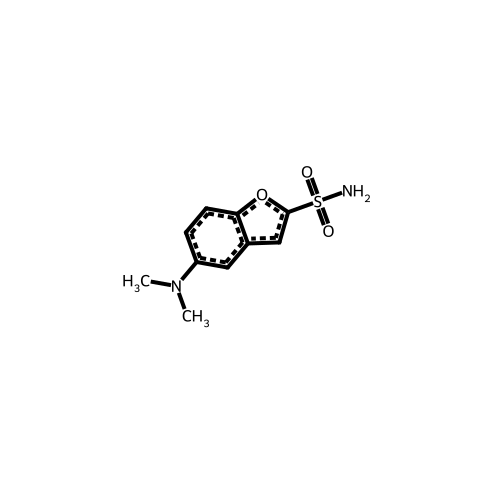 CN(C)c1ccc2oc(S(N)(=O)=O)cc2c1